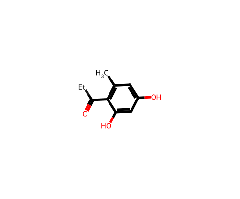 CCC(=O)c1c(C)cc(O)cc1O